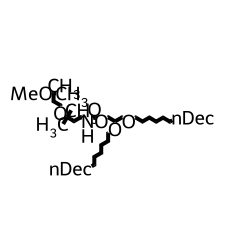 CCCCCCCCCCCCCCCCOCC(COC(=O)NCCC(C)(C)OCCC(C)(C)OC)OCCCCCCCCCCCCCCCC